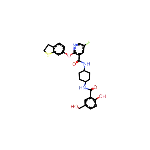 O=C(NC1CCC(NC(=O)c2cc(F)cnc2Oc2ccc3c(c2)SCC3)CC1)c1cc(CO)ccc1O